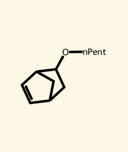 CCCCCOC1CC2C=CC1C2